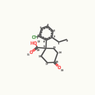 CCc1cccc(Cl)c1C1(C(=O)O)CCC(=O)CC1